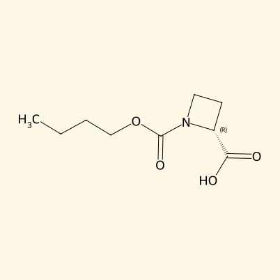 CCCCOC(=O)N1CC[C@@H]1C(=O)O